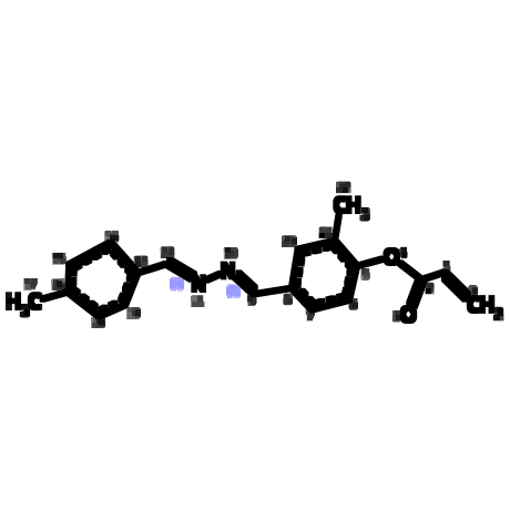 C=CC(=O)Oc1ccc(/C=N/N=C/c2ccc(C)cc2)cc1C